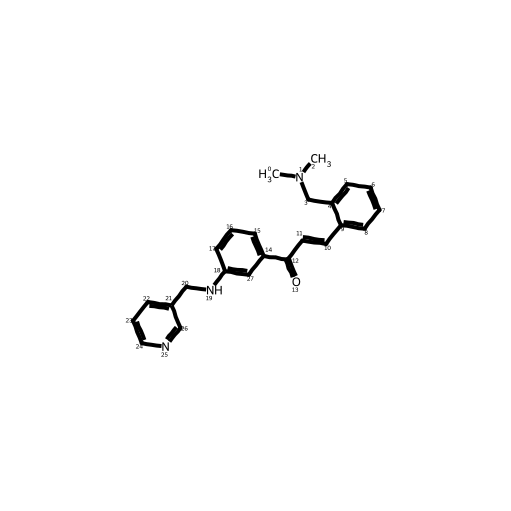 CN(C)Cc1ccccc1C=CC(=O)c1cccc(NCc2cccnc2)c1